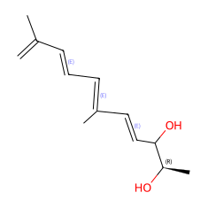 C=C(C)/C=C/C=C(C)/C=C/C(O)[C@@H](C)O